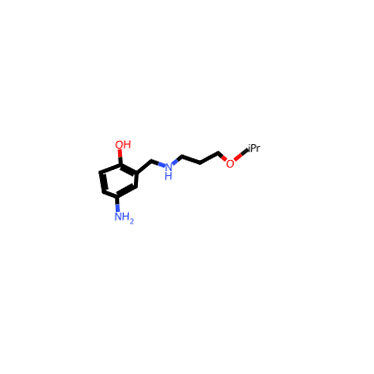 CC(C)OCCCNCc1cc(N)ccc1O